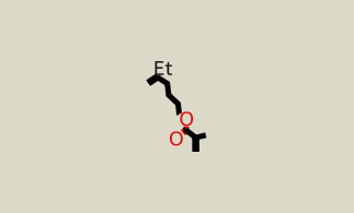 C=C(CC)CCCCOC(=O)C(=C)C